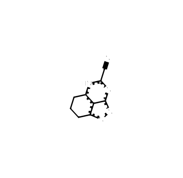 N#Cc1nc2nnc3c-2c([nH]1)CCC3